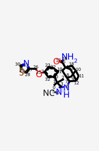 CC(C)(/C(=N\C#N)NC1C2CC3CC1CC(C(N)=O)(C3)C2)c1cccc(OCc2cscn2)c1